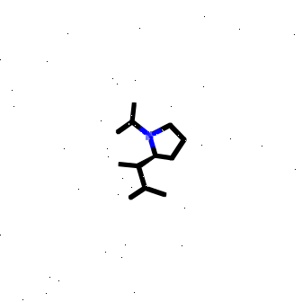 CC(C)C(C)[C@@H]1CCCN1C(C)C